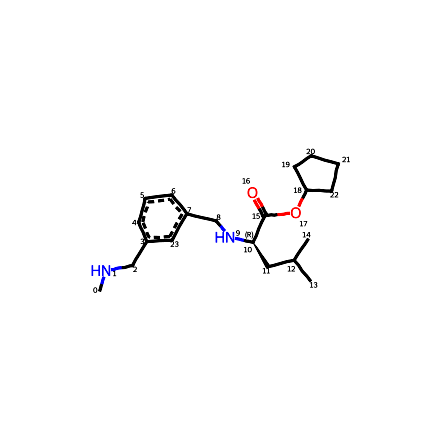 CNCc1cccc(CN[C@H](CC(C)C)C(=O)OC2CCCC2)c1